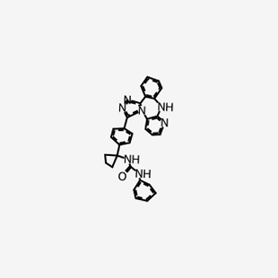 O=C(Nc1ccccc1)NC1(c2ccc(-c3nnc4n3-c3cccnc3Nc3ccccc3-4)cc2)CCC1